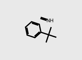 C=N.CC(C)(C)c1ccccc1